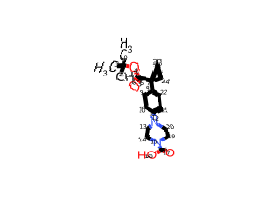 CC(C)(C)OC(=O)C1(c2ccc(N3CCN(C(=O)O)CC3)cc2)CC1